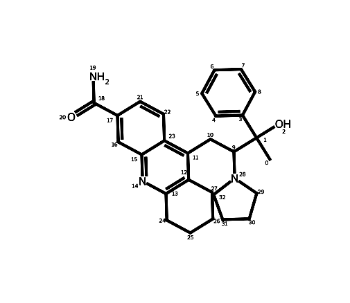 CC(O)(c1ccccc1)C(Cc1c2c(nc3cc(C(N)=O)ccc13)CCCC2)N1CCCC1